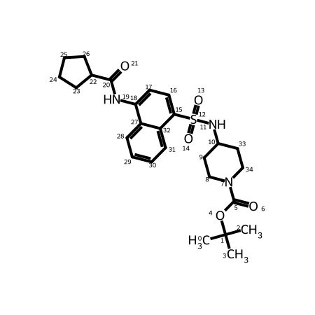 CC(C)(C)OC(=O)N1CCC(NS(=O)(=O)c2ccc(NC(=O)C3CCCC3)c3ccccc23)CC1